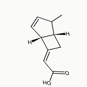 CC1C=C[C@H]2C(=CC(=O)O)C[C@@H]12